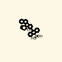 CC1CC2CCC(C2)C12c1cc(-c3c4ccccc4c(B(O)O)c4ccccc34)ccc1-c1ccc3ccccc3c12